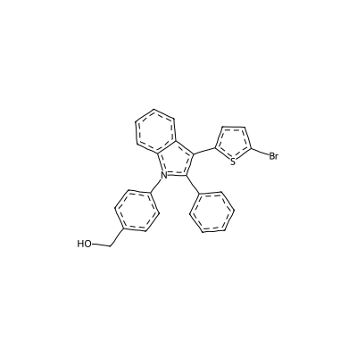 OCc1ccc(-n2c(-c3ccccc3)c(-c3ccc(Br)s3)c3ccccc32)cc1